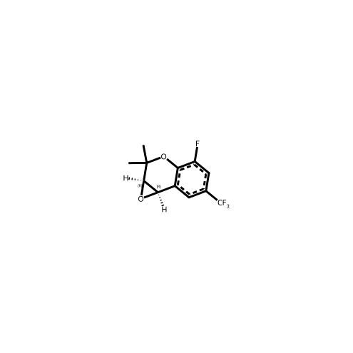 CC1(C)Oc2c(F)cc(C(F)(F)F)cc2[C@H]2O[C@H]21